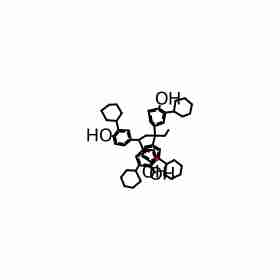 CCC(CC(c1ccc(O)c(C2CCCCC2)c1)c1ccc(O)c(C2CCCCC2)c1)(c1ccc(O)c(C2CCCCC2)c1)c1ccc(O)c(C2CCCCC2)c1